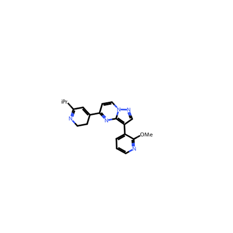 COc1ncccc1-c1cnn2ccc(C3=CC(C(C)C)=NCC3)nc12